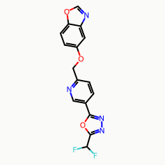 FC(F)c1nnc(-c2ccc(COc3ccc4ocnc4c3)nc2)o1